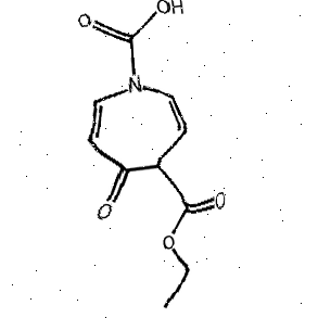 CCOC(=O)C1C=CN(C(=O)O)C=CC1=O